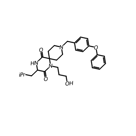 CC(C)CC1NC(=O)C2(CCN(Cc3ccc(Oc4ccccc4)cc3)CC2)N(CCCO)C1=O